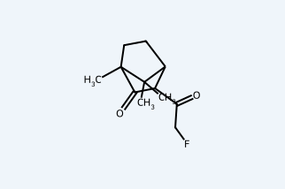 CC12CCC(C(C(=O)CF)C1=O)C2(C)C